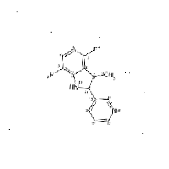 CC1c2c(F)ccc(F)c2NC1c1cccnc1